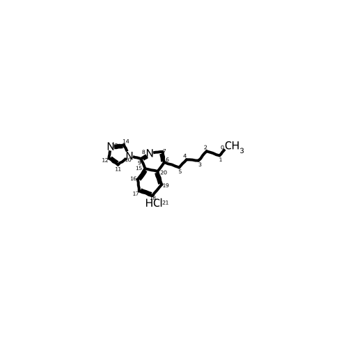 CCCCCCc1cnc(-n2ccnc2)c2ccccc12.Cl